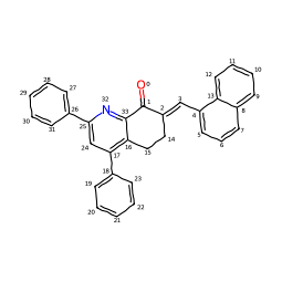 O=C1C(=Cc2cccc3ccccc23)CCc2c(-c3ccccc3)cc(-c3ccccc3)nc21